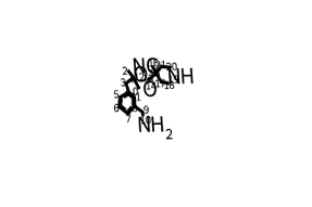 CC(C)(Cc1cccc(CN)c1)OC(=O)C1(C#N)CCNCC1